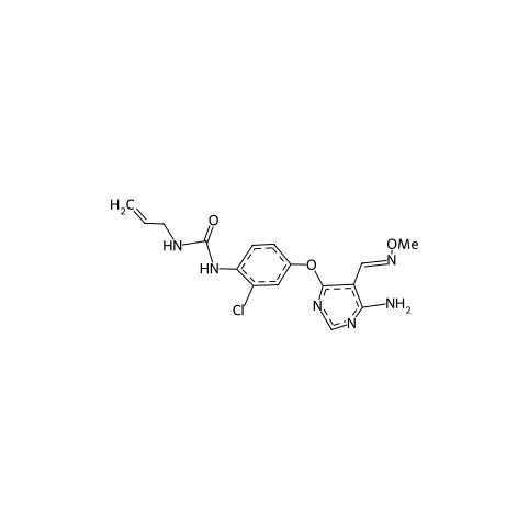 C=CCNC(=O)Nc1ccc(Oc2ncnc(N)c2C=NOC)cc1Cl